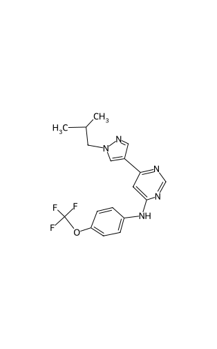 CC(C)Cn1cc(-c2cc(Nc3ccc(OC(F)(F)F)cc3)ncn2)cn1